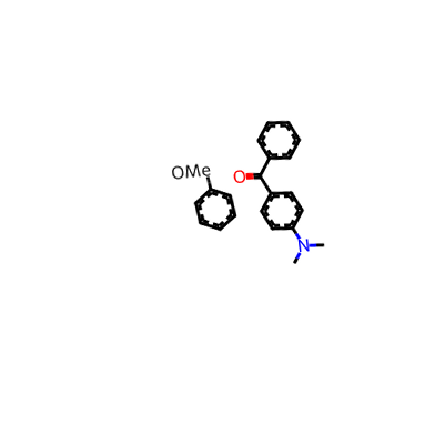 CN(C)c1ccc(C(=O)c2ccccc2)cc1.COc1ccccc1